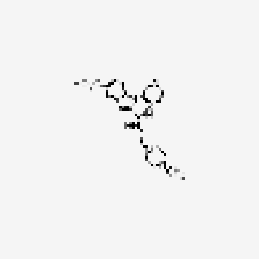 CN1CCN(CCNc2nc3ccncc3n3c2cc2cc(C(=O)O)ccc23)CC1